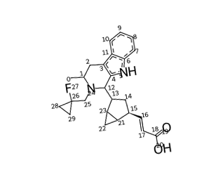 CC1Cc2c([nH]c3ccccc23)C(C2C[C@@H](/C=C/C(=O)O)C3CC23)N1CC1(F)CC1